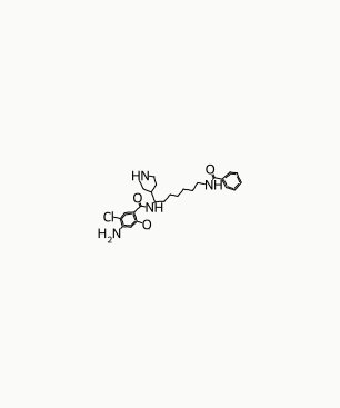 COc1cc(N)c(Cl)cc1C(=O)NC(CCCCCCNC(=O)c1ccccc1)C1CCNCC1